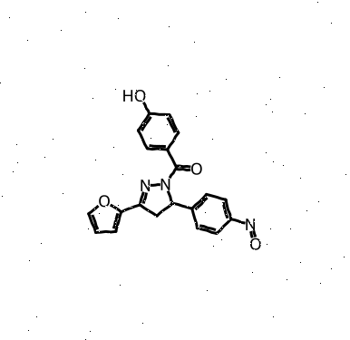 O=Nc1ccc(C2CC(c3ccco3)=NN2C(=O)c2ccc(O)cc2)cc1